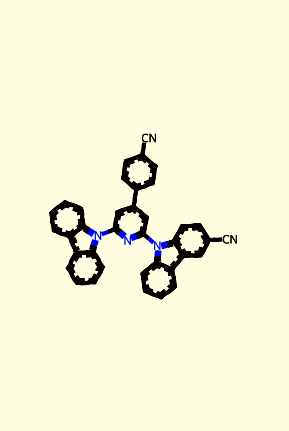 N#Cc1ccc(-c2cc(-n3c4ccccc4c4ccccc43)nc(-n3c4ccccc4c4cc(C#N)ccc43)c2)cc1